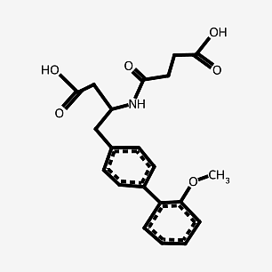 COc1ccccc1-c1ccc(CC(CC(=O)O)NC(=O)CCC(=O)O)cc1